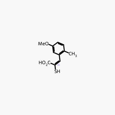 COc1ccc(C)c(/C=C(/S)C(=O)O)c1